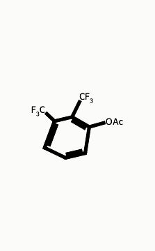 CC(=O)Oc1cccc(C(F)(F)F)c1C(F)(F)F